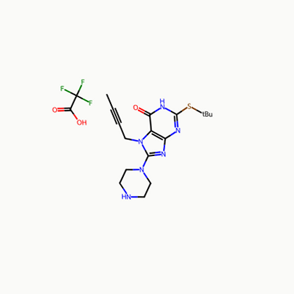 CC#CCn1c(N2CCNCC2)nc2nc(SC(C)(C)C)[nH]c(=O)c21.O=C(O)C(F)(F)F